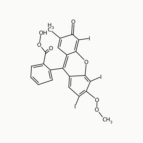 COOc1c(I)cc2c(-c3ccccc3C(=O)OO)c3cc(C)c(=O)c(I)c-3oc2c1I